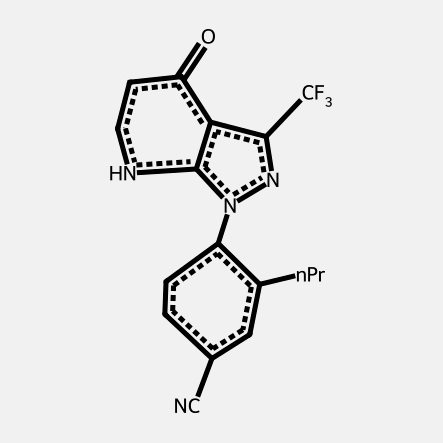 CCCc1cc(C#N)ccc1-n1nc(C(F)(F)F)c2c(=O)cc[nH]c21